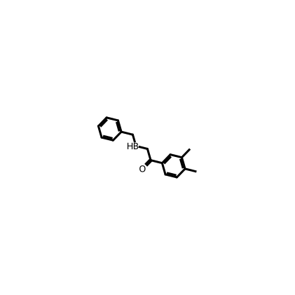 Cc1ccc(C(=O)CBCc2ccccc2)cc1C